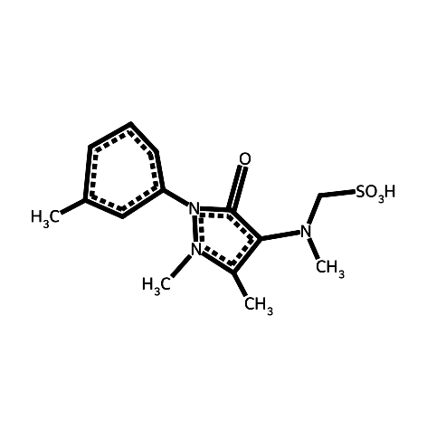 Cc1cccc(-n2c(=O)c(N(C)CS(=O)(=O)O)c(C)n2C)c1